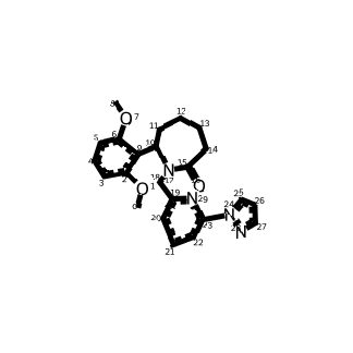 COc1cccc(OC)c1C1CCCCC(=O)N1Cc1cccc(-n2cccn2)n1